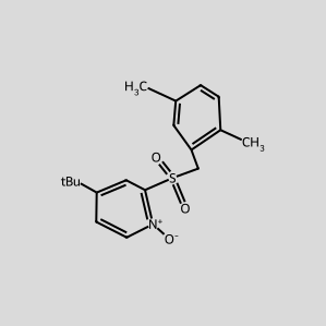 Cc1ccc(C)c(CS(=O)(=O)c2cc(C(C)(C)C)cc[n+]2[O-])c1